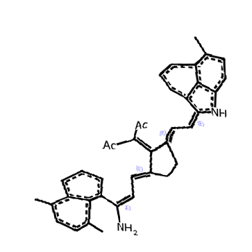 CC(=O)C(C(C)=O)=C1/C(=C/C=C(/N)c2cccc3c(C)ccc(C)c23)CC/C1=C\C=c1\[nH]c2ccc(C)c3cccc1c23